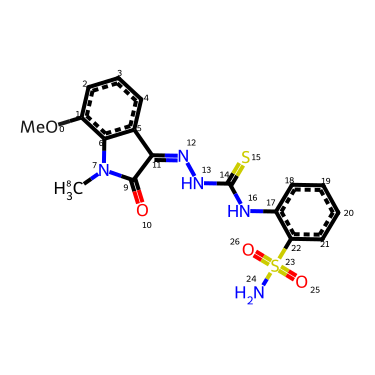 COc1cccc2c1N(C)C(=O)C2=NNC(=S)Nc1ccccc1S(N)(=O)=O